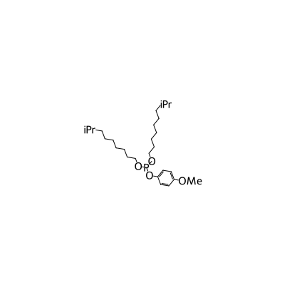 COc1ccc(OP(OCCCCCCCC(C)C)OCCCCCCCC(C)C)cc1